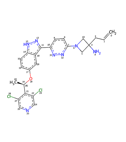 C=CCC1(N)CN(c2ccc(-c3n[nH]c4ccc(O[C@H](C)c5c(Cl)cncc5Cl)cc34)nn2)C1